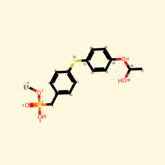 CCOP(=O)(O)Cc1ccc(Sc2ccc(OC(C)O)cc2)cc1